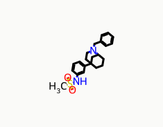 CS(=O)(=O)Nc1cccc(C23CCCC(C2)N(Cc2ccccc2)CC3)c1